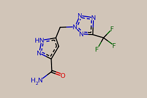 NC(=O)c1cc(Cn2nnc(C(F)(F)F)n2)[nH]n1